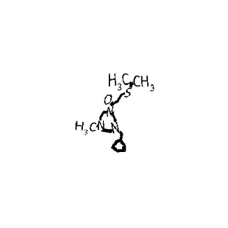 CC(C)SCCC(=O)N1CCN(C)CCN(Cc2ccccc2)CC1